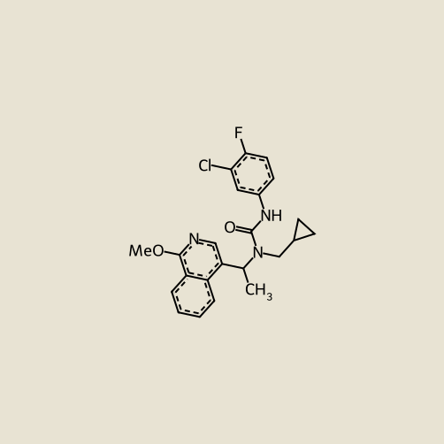 COc1ncc(C(C)N(CC2CC2)C(=O)Nc2ccc(F)c(Cl)c2)c2ccccc12